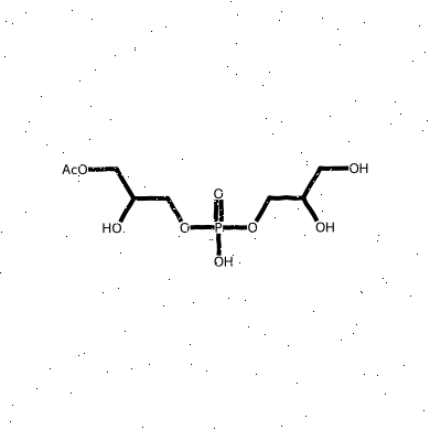 CC(=O)OCC(O)COP(=O)(O)OCC(O)CO